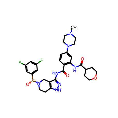 CN1CCN(c2ccc(C(=O)Nc3n[nH]c4c3CN([S+]([O-])c3cc(F)cc(F)c3)CC4)c(NC(=O)C3CCOCC3)c2)CC1